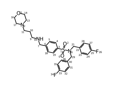 O=S(=O)(c1ccc(CNCCCN2CCOCC2)cc1)N(Cc1ccc(F)cc1)Cc1ccc(F)cc1